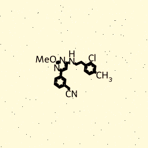 COc1nc(NCCc2ccc(C)cc2Cl)cc(-c2cccc(CC#N)c2)n1